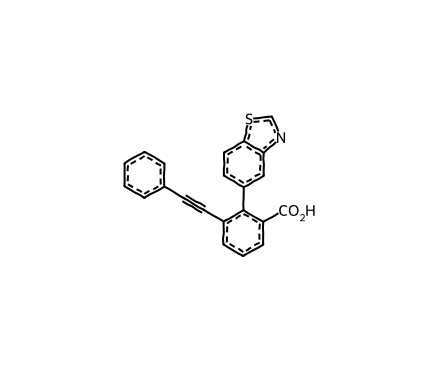 O=C(O)c1cccc(C#Cc2ccccc2)c1-c1ccc2scnc2c1